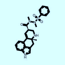 CN(C(=O)[C@@H]1C=C2c3cccc4[nH]cc(c34)C[C@@]2(C)NC1)N(C)S(=O)(=O)c1ccccc1